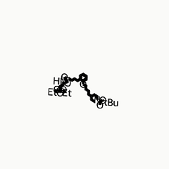 CCOP(=O)(CCNS(=O)(=O)CCCCc1ccccc1OCCCCC1CCN(C(=O)OC(C)(C)C)CC1)OCC